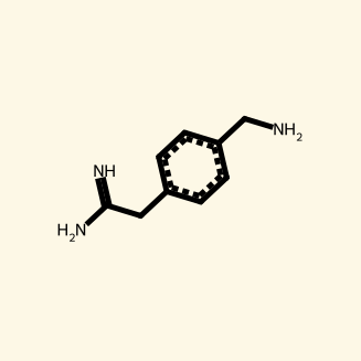 N=C(N)Cc1ccc(CN)cc1